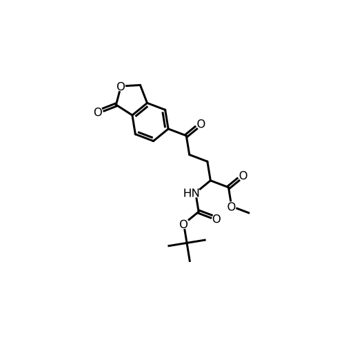 COC(=O)C(CCC(=O)c1ccc2c(c1)COC2=O)NC(=O)OC(C)(C)C